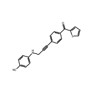 N#Cc1ccc(NCC#Cc2ccc(C(=O)c3cccs3)cc2)cc1